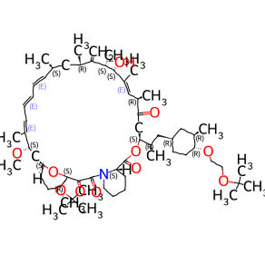 C=C1[C@H](C)C[C@H](C)/C=C/C=C/C=C(\C)[C@@H](OC)C[C@@H]2CC[C@@H](C)[C@@](OC(C)(C)C)(O2)C(=O)C(=O)N2CCCC[C@H]2C(=O)O[C@H]([C@H](C)C[C@@H]2CC[C@@H](OCCOC(C)(C)C)[C@H](C)C2)CC(=O)[C@H](C)/C=C(\C)[C@@H](O)[C@H]1C